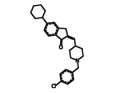 O=C1C(=CC2CCN(Cc3ccc(Cl)cc3)CC2)Cc2cc(C3CCCCC3)ccc21